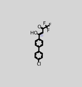 O=C(/C=C(\O)c1ccc(-c2ccc(Cl)cc2)cc1)C(F)(F)F